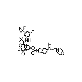 COC(=O)[C@@H]1C[C@@H](OC(=O)N2Cc3ccc(NCCN4CCOCC4)cc3C2)CN1C(=O)[C@@H](Nc1cc(F)cc(C(F)(F)F)c1)C(C)(C)C